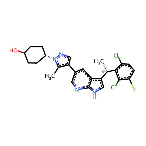 Cc1c(-c2cnc3[nH]cc([C@H](C)c4c(Cl)ccc(F)c4Cl)c3c2)cnn1[C@H]1CC[C@H](O)CC1